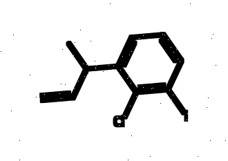 C=C[C](C)c1cccc(I)c1Cl